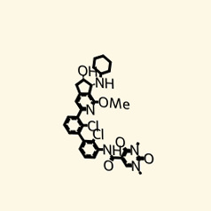 COc1nc(-c2cccc(-c3cccc(NC(=O)c4cn(C)c(=O)n(C)c4=O)c3Cl)c2Cl)cc2c1[C@@H](NC1CCCCC1)[C@@H](O)C2